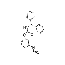 O=CNc1cccc(OC(=O)NC(c2ccccc2)c2ccccc2)c1